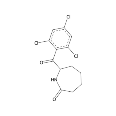 O=C1CCCCC(C(=O)c2c(Cl)cc(Cl)cc2Cl)N1